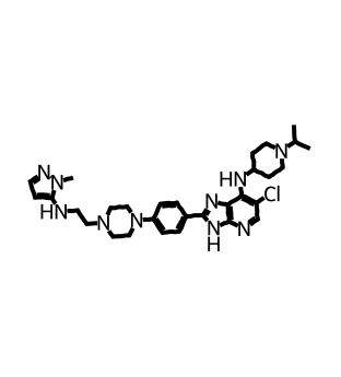 CC(C)N1CCC(Nc2c(Cl)cnc3[nH]c(-c4ccc(N5CCN(CCNc6ccnn6C)CC5)cc4)nc23)CC1